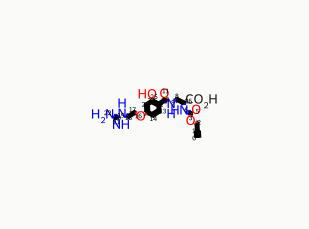 C#CCOC(=O)N[C@@H](CNC(=O)c1ccc(OCCNC(=N)N)cc1O)C(=O)O